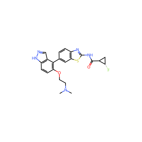 CN(C)CCOc1ccc2[nH]ncc2c1-c1ccc2nc(NC(=O)C3C[C@@H]3F)sc2c1